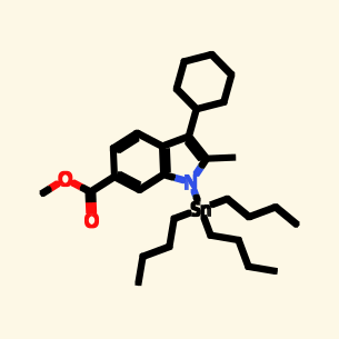 CCC[CH2][Sn]([CH2]CCC)([CH2]CCC)[n]1c(C)c(C2CCCCC2)c2ccc(C(=O)OC)cc21